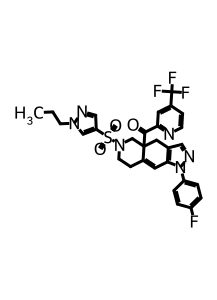 CCCn1cc(S(=O)(=O)N2CCC3=Cc4c(cnn4-c4ccc(F)cc4)CC3(C(=O)c3cc(C(F)(F)F)ccn3)C2)cn1